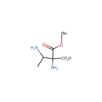 CC(N)C(N)(C(=O)O)C(=O)OC(C)(C)C